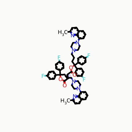 Cc1ccc2cccc(N3CCN(CCCC(OC(=O)/C=C/C(=O)OC(CCCN4CCN(c5cccc6ccc(C)nc56)CC4)(c4ccc(F)cc4)c4ccc(F)cc4)(c4ccc(F)cc4)c4ccc(F)cc4)CC3)c2n1